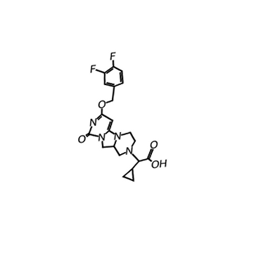 O=C(O)C(C1CC1)N1CCN2c3cc(OCc4ccc(F)c(F)c4)nc(=O)n3CC2C1